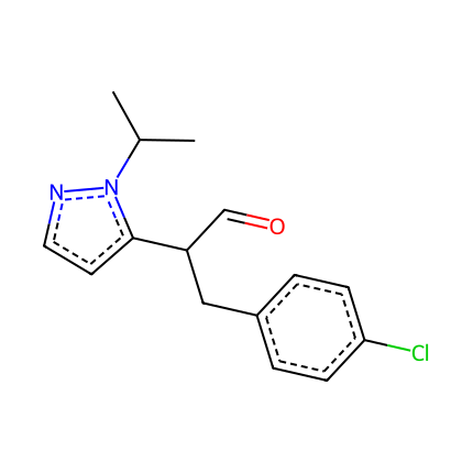 CC(C)n1nccc1C(C=O)Cc1ccc(Cl)cc1